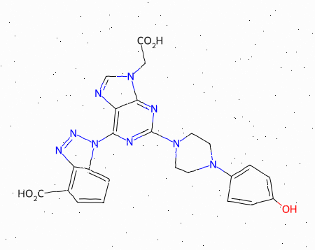 O=C(O)Cn1cnc2c(-n3nnc4c(C(=O)O)cccc43)nc(N3CCN(c4ccc(O)cc4)CC3)nc21